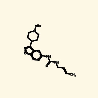 CC=CCNC(=O)Nc1ccc2occ(C3CCN(CCCC)CC3)c2c1